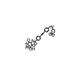 CNC(=O)C(C(=O)NO)N(C)C(=O)c1ccc(C#Cc2ccc(CN(C)C3CCS(=O)(=O)C3)cc2)cc1